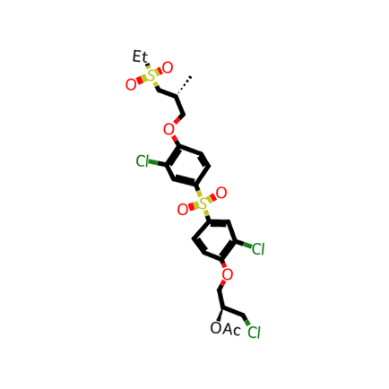 CCS(=O)(=O)C[C@H](C)COc1ccc(S(=O)(=O)c2ccc(OC[C@@H](CCl)OC(C)=O)c(Cl)c2)cc1Cl